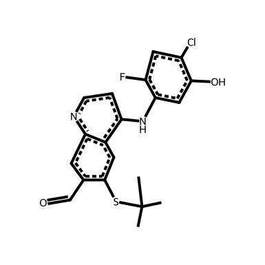 CC(C)(C)Sc1cc2c(Nc3cc(O)c(Cl)cc3F)ccnc2cc1C=O